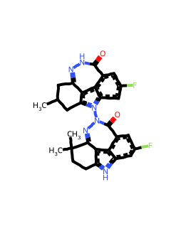 CC1CC2=NNC(=O)c3cc(F)cc4c3c2c(n4N2N=C3c4c([nH]c5cc(F)cc(c45)C2=O)CCC3(C)C)C1